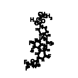 CC(C)(C)OC(=O)N1CCC2(CC1)CN(C(=S)N(Cc1ccc(-c3nnc(C(F)F)o3)cc1F)c1ccc(F)c(F)c1)C2